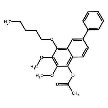 CCCCCOc1c(OC)c(OC)c(OC(C)=O)c2ccc(-c3ccccc3)cc12